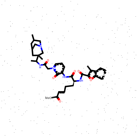 COC(=O)/C=C/CC[C@H](NC(=O)c1oc2ccccc2c1C)C(=O)Nc1cccn(CC(=O)NC(C)C2(C)CC3CC(C)CN(C3)C2)c1=O